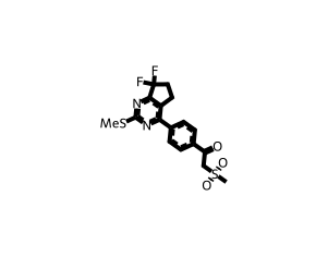 CSc1nc(-c2ccc(C(=O)CS(C)(=O)=O)cc2)c2c(n1)C(F)(F)CC2